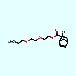 COCCOCCOCCOC(=O)C1(C)CC2C=CC1C2